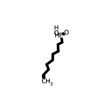 C=CCCCCCCC[PH](=O)O